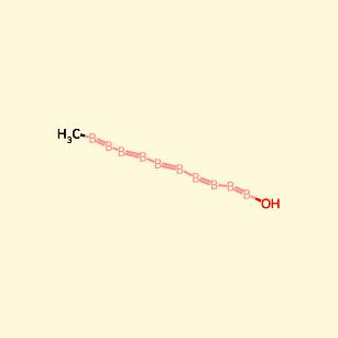 CB=BB=BB=BB=BB=BO